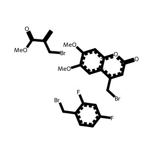 C=C(CBr)C(=O)OC.COc1cc2oc(=O)cc(CBr)c2cc1OC.Fc1ccc(CBr)c(F)c1